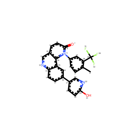 Cc1ccc(-n2c(=O)ccc3cnc4ccc(-c5ccc(O)nc5)cc4c32)cc1C(F)(F)F